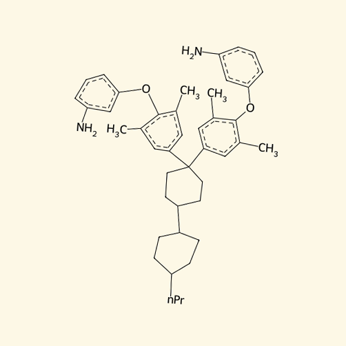 CCCC1CCC(C2CCC(c3cc(C)c(Oc4cccc(N)c4)c(C)c3)(c3cc(C)c(Oc4cccc(N)c4)c(C)c3)CC2)CC1